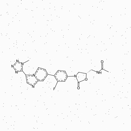 CC(=O)NC[C@H]1CN(c2ccc(-c3ccn4c(-c5nnnn5C)cnc4c3)c(F)c2)C(=O)O1